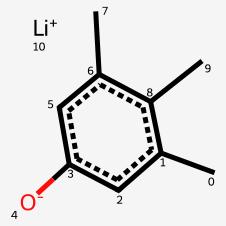 Cc1cc([O-])cc(C)c1C.[Li+]